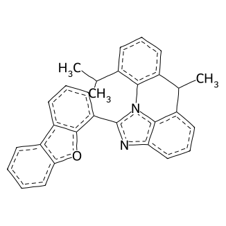 CC(C)c1cccc2c1-n1c(-c3cccc4c3oc3ccccc34)nc3cccc(c31)C2C